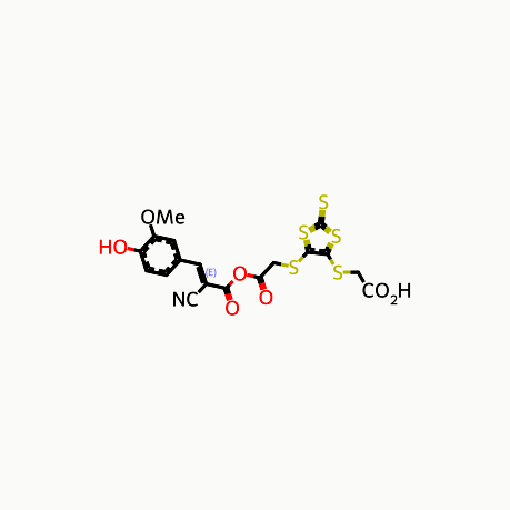 COc1cc(/C=C(\C#N)C(=O)OC(=O)CSc2sc(=S)sc2SCC(=O)O)ccc1O